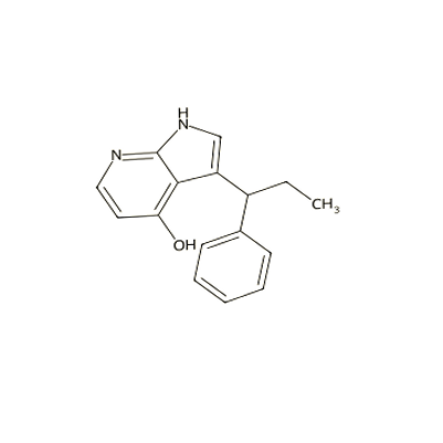 CCC(c1ccccc1)c1c[nH]c2nccc(O)c12